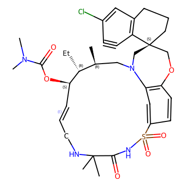 CC[C@@H]1[C@@H](C)CN2C[C@@]3(CCCc4cc(Cl)c#cc43)COc3ccc(cc32)S(=O)(=O)NC(=O)C(C)(C)NC/C=C/[C@H]1OC(=O)N(C)C